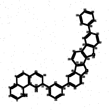 C1=CNC2C(=C1)C=CC1=C2NC(c2cccc(-c3ccc4oc5c(ccc6c7cc(-c8ccccc8)ccc7oc65)c4c3)c2)C=C1